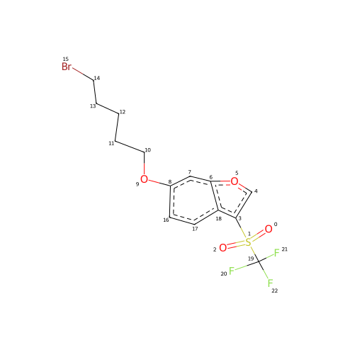 O=S(=O)(c1coc2cc(OCCCCCBr)ccc12)C(F)(F)F